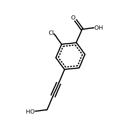 O=C(O)c1ccc(C#CCO)cc1Cl